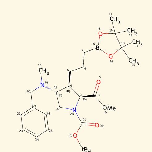 COC(=O)[C@@H]1[C@H](CCCB2OC(C)(C)C(C)(C)O2)[C@@H](N(C)Cc2ccccc2)CN1C(=O)OC(C)(C)C